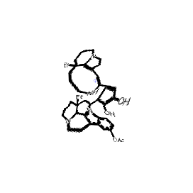 CCC12CCCN/C(C3=CC(O)=C(O)C3C3CC4(CC)CCCN5CCc6c(n3c3ccc(OC(C)=O)cc63)C54)=C\C3=C1N(CCC2)CC3